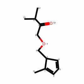 CC1=CC=CC1COCC(=O)C(C)C